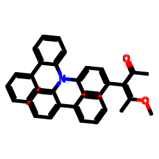 CO/C(C)=C(\C(C)=O)c1ccc(N(c2ccccc2-c2ccccc2)c2ccccc2-c2ccccc2)cc1